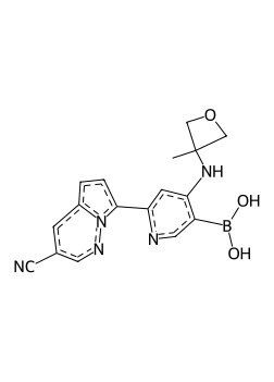 CC1(Nc2cc(-c3ccc4cc(C#N)cnn34)ncc2B(O)O)COC1